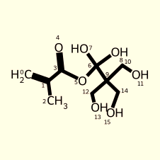 C=C(C)C(=O)OC(O)(O)C(CO)(CO)CO